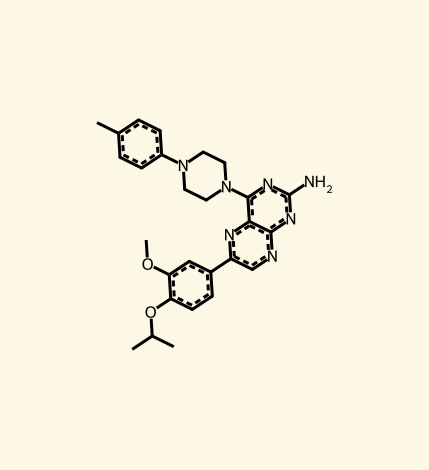 COc1cc(-c2cnc3nc(N)nc(N4CCN(c5ccc(C)cc5)CC4)c3n2)ccc1OC(C)C